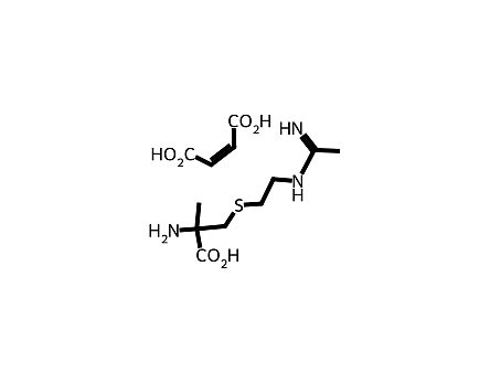 CC(=N)NCCSCC(C)(N)C(=O)O.O=C(O)/C=C\C(=O)O